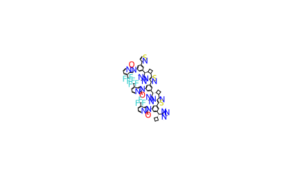 Cn1cnnc1[C@@H](c1cc(-c2cc(C3CCC3[C@@H](c3cc(-c4cc(C5CCC5[C@H](c5cc(-c6ccsn6)cc(-n6cc7c(C(F)(F)F)cccn7c6=O)c5)c5nncn5C)sn4)cc(-n4cc5c(C(F)(F)F)cccn5c4=O)c3)c3nncn3C)ns2)cc(-n2cc3c(C(F)(F)F)cccn3c2=O)c1)C1CCC1